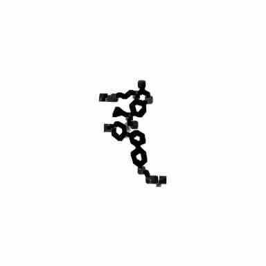 COCCCN1C(=O)COc2ccc(N(C(=O)[C@H]3CNCC[C@@H]3c3cccc(-c4ccc(OCC(=O)O)cc4)c3)C3CC3)cc21